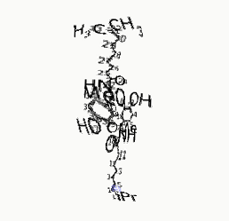 COc1c(O)ccc(CNC(=O)CCCC/C=C/C(C)C)c1-c1c(CNC(=O)CCCCCC=C(C)C)ccc(O)c1OC